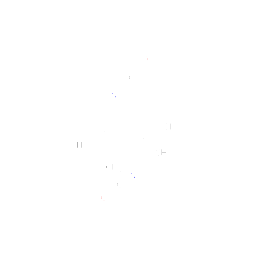 CC1(C)CC(N=C=O)CC(C)(C)C1N=C=O